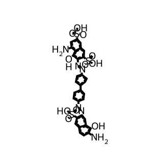 Nc1ccc2cc(S(=O)(=O)O)c(/N=N/c3ccc(-c4ccc(/N=N/c5c(S(=O)(=O)O)cc6cc(S(=O)(=O)O)cc(N)c6c5O)cc4)cc3)cc2c1O